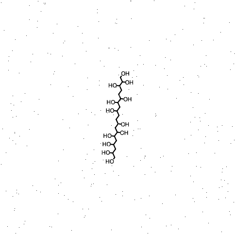 OCC(O)CC(O)CC(O)C(O)CC(O)CCC(O)CC(O)C(O)CCC(O)C(O)CO